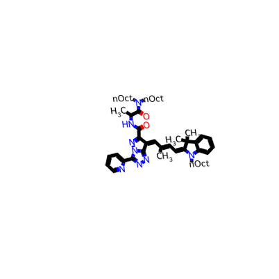 CCCCCCCCN(CCCCCCCC)C(=O)C(C)NC(=O)c1nn2c(-c3ccccn3)nnc2\c1=C/C(C)=C/C=C1/N(CCCCCCCC)c2ccccc2C1(C)C